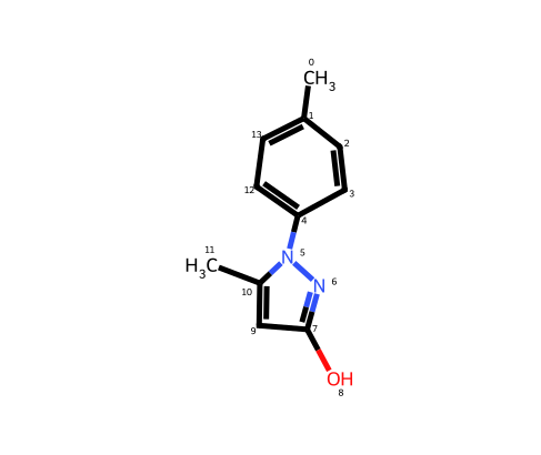 Cc1ccc(-n2nc(O)cc2C)cc1